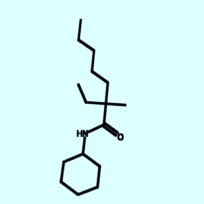 CCCCCC(C)(CC)C(=O)NC1CCCCC1